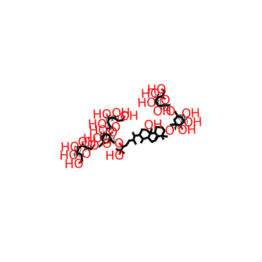 CC(CCC(OC[C@@]1(C)OC(COC[C@@]2(C)OC(CO)[C@H](O)[C@H](O)C2O)[C@H](O)[C@H](O)C1O[C@@]1(C)OC(CO)[C@H](O)[C@H](O)C1O)C(C)(C)O)C(C)C1CC(O)C2(C)C3CCC(OC[C@]4(C)CC(COC[C@]5(C)OC(CO)[C@@H](O)[C@@H](O)C5O)[C@@H](O)[C@@H](O)C4O)C(C)(C)C3=CCC2C1C